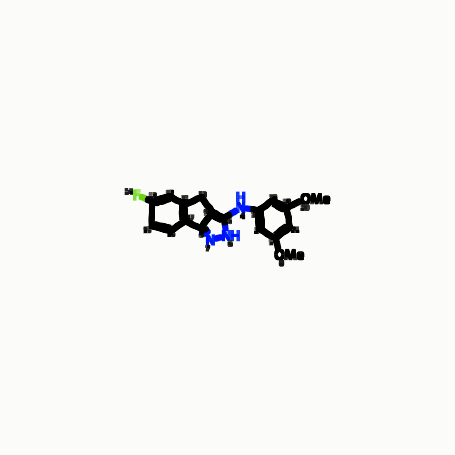 COc1cc(Nc2[nH]nc3c2Cc2cc(F)ccc2-3)cc(OC)c1